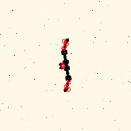 C=CC(=O)OCCOc1ccc(C#Cc2ccc(-c3ccc(C#Cc4ccc(OCCOC(=O)C=C)cc4)cc3OCC)c(OCC)c2)cc1